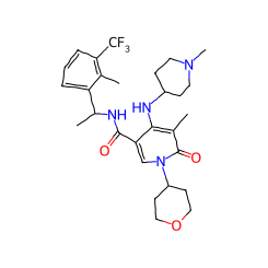 Cc1c(C(C)NC(=O)c2cn(C3CCOCC3)c(=O)c(C)c2NC2CCN(C)CC2)cccc1C(F)(F)F